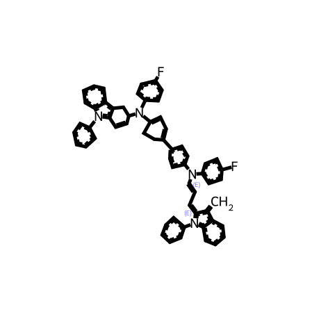 C=c1/c(=C\C=C\N(c2ccc(F)cc2)c2ccc(C3=CC=C(N(c4ccc(F)cc4)C4C=Cc5c(c6ccccc6n5-c5ccccc5)C4)CC3)cc2)n(-c2ccccc2)c2ccccc12